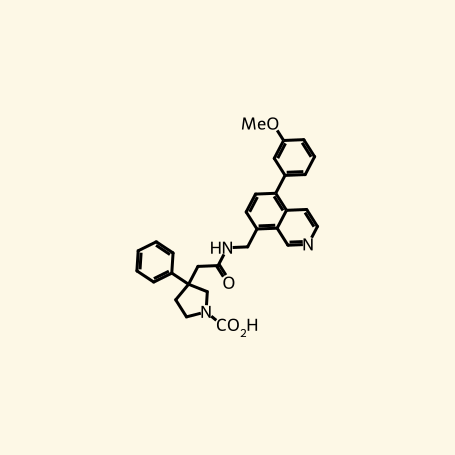 COc1cccc(-c2ccc(CNC(=O)CC3(c4ccccc4)CCN(C(=O)O)C3)c3cnccc23)c1